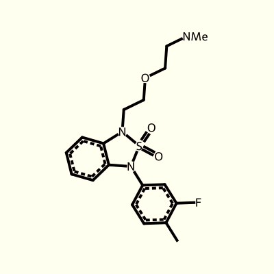 CNCCOCCN1c2ccccc2N(c2ccc(C)c(F)c2)S1(=O)=O